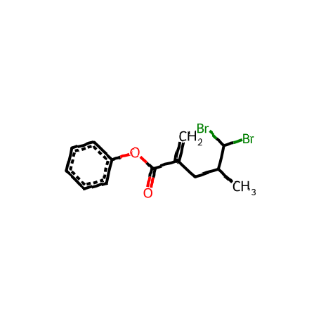 C=C(CC(C)C(Br)Br)C(=O)Oc1ccccc1